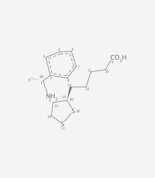 C[C@@H](N)c1ccccc1.O=C(O)CCCC[C@@H]1CCSS1